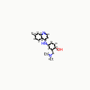 CCN(CC)Cc1cc(Nc2ccnc3cc(C)ccc23)ccc1O